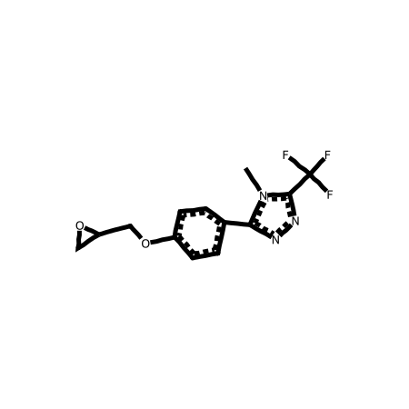 Cn1c(-c2ccc(OCC3CO3)cc2)nnc1C(F)(F)F